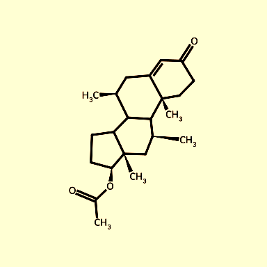 CC(=O)O[C@H]1CCC2C3C([C@@H](C)C[C@@]21C)[C@@]1(C)CCC(=O)C=C1C[C@@H]3C